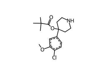 COc1cc(C2(OC(=O)C(C)(C)C)CCNCC2)ccc1Cl